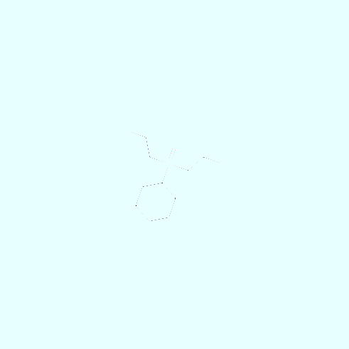 O=P(CCO)(CCO)C1CCCCC1